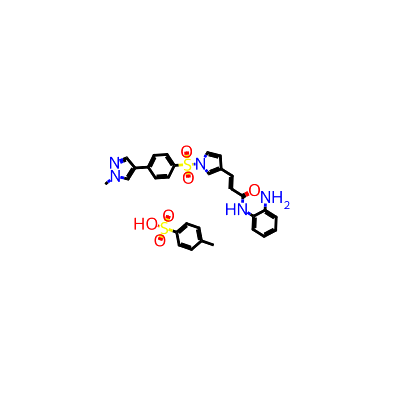 Cc1ccc(S(=O)(=O)O)cc1.Cn1cc(-c2ccc(S(=O)(=O)n3ccc(C=CC(=O)Nc4ccccc4N)c3)cc2)cn1